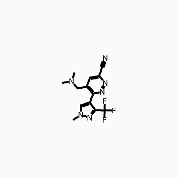 CN(C)Cc1cc(C#N)nnc1-c1cn(C)nc1C(F)(F)F